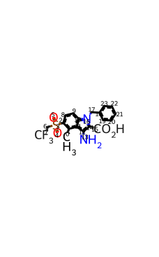 Cc1c(S(=O)(=O)CC(F)(F)F)ccc2c1c(N)c(C(=O)O)n2Cc1ccccc1